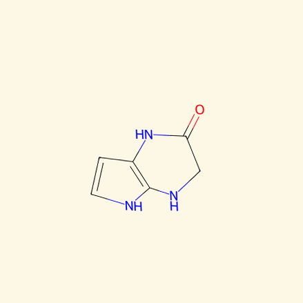 O=C1CNc2[nH]ccc2N1